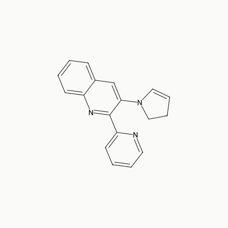 C1=CN(c2cc3ccccc3nc2-c2ccccn2)CC1